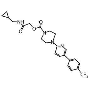 O=C(COC(=O)N1CCN(c2ccc(-c3ccc(C(F)(F)F)cc3)cn2)CC1)NCC1CC1